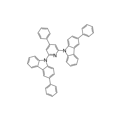 c1ccc(-c2cc(-n3c4ccccc4c4cc(-c5ccccc5)ccc43)nc(-n3c4ccccc4c4cc(-c5ccccc5)ccc43)c2)cc1